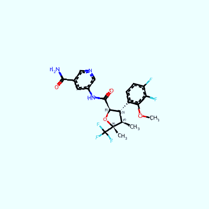 COc1c([C@@H]2[C@@H](C)[C@](C)(C(F)(F)F)O[C@H]2C(=O)Nc2cncc(C(N)=O)c2)ccc(F)c1F